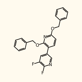 Fc1cc(-c2ccc(OCc3ccccc3)nc2OCc2ccccc2)cnc1F